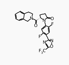 O=C([C@@H]1CCC(=O)N1c1cc(F)c(-c2noc(C(F)(F)F)n2)cc1F)N1CCc2ccccc2C1